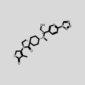 CC1=C(N2CC[C@]3(CC[C@@H](N(C)[C@@H](CO)c4ccc(-n5cnnn5)nc4)CC3)C2=O)COC1=O